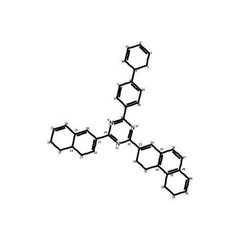 C1=CCC(c2ccc(-c3nc(C4=CCC5CCC=CC5=C4)nc(C4=Cc5ccc6c(c5CC4)CCC=C6)n3)cc2)C=C1